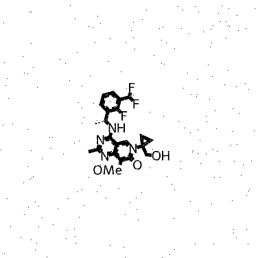 COc1c(=O)n(C2(CO)CC2)cc2c(N[C@H](C)c3cccc(C(F)F)c3F)nc(C)nc12